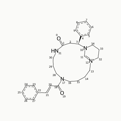 O=C1C[C@@H](c2ccccc2)N2C=[N+](CCCCN(C(=O)/C=C/c3ccccc3)CCCN1)CCC2